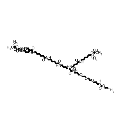 C=CCOC(=O)NCCCOCCOCCOCCCNC(=O)[C@H](CCCCNC(=O)CCCCCNC(=O)CCCCCNC(=O)c1ccc(NNC(=O)OC(C)(C)C)nc1)NC(=O)CCC(=O)NCCCCCC(=O)OC(C)(C)C